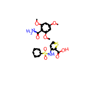 COc1cc(OC)c(C(N)=O)c(OC)c1.O=C(O)c1sccc1NS(=O)(=O)c1ccccc1